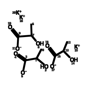 CC(O)C(=O)[O-].CC(O)C(=O)[O-].CC(O)C(=O)[O-].[K+].[K+].[K+]